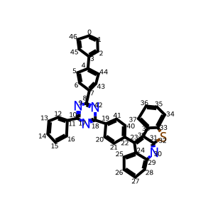 c1ccc(-c2ccc(-c3nc(-c4ccccc4)nc(-c4ccc(-c5c6ccccc6nc6sc7ccccc7c56)cc4)n3)cc2)cc1